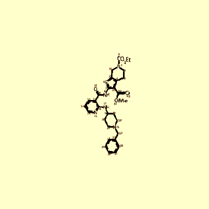 CCOC(=O)N1CCc2c(sc(NC(=O)c3cccnc3NC3CCN(Cc4ccccc4)CC3)c2C(=O)OC)C1